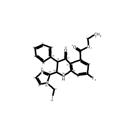 CCOC(=O)c1cc(F)cc2c1C(=O)C(c1ccccc1)C(c1nccn1CI)N2